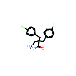 CCC(Cc1ccc(F)cc1)(Cc1ccc(F)cc1)C(N)=O